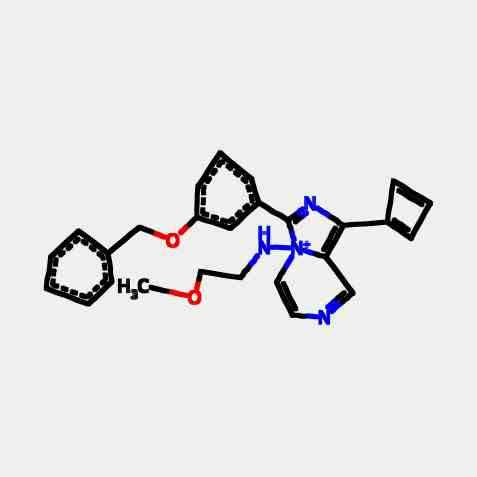 COCCN[N+]12C=CN=CC1=C(C1=CC=C1)N=C2c1cccc(OCc2ccccc2)c1